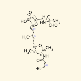 C[CH]/C=C\C(=O)N[C@@H]1C[C@H](C)[C@H](C/C=C(C)/C=C/[C@H]2O[C@H](CN[C@](C)(N)C=O)C[C@@]3(CO3)[C@@H]2O)O[C@@H]1C